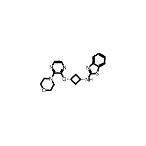 c1ccc2sc(N[C@H]3C[C@@H](Oc4nccnc4N4CCOCC4)C3)nc2c1